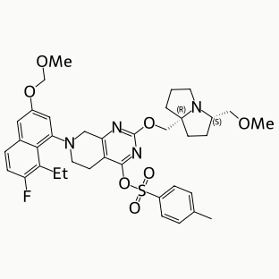 CCc1c(F)ccc2cc(OCOC)cc(N3CCc4c(nc(OC[C@]56CCCN5[C@H](COC)CC6)nc4OS(=O)(=O)c4ccc(C)cc4)C3)c12